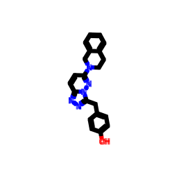 Oc1ccc(Cc2nnc3ccc(N4CCc5ccccc5C4)nn23)cc1